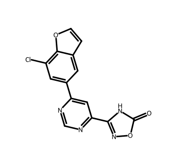 O=c1[nH]c(-c2cc(-c3cc(Cl)c4occc4c3)ncn2)no1